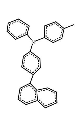 Cc1ccc(N(c2ccccc2)c2ccc(-c3cccc4ccccc34)cc2)cc1